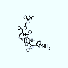 CO/N=C(\C(=O)NC1C(=O)N2C(C(=O)OCOC(=O)C(C)(C)C)=CCS[C@H]12)c1csc(N)n1